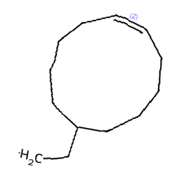 [CH2]CC1CCCC/C=C\CCCC1